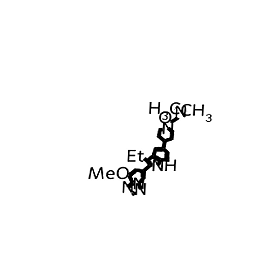 CCc1c(-c2cc(OC)c3ncnn3c2)[nH]c2ccc(C3CCN(C(=O)CN(C)C)CC3)cc12